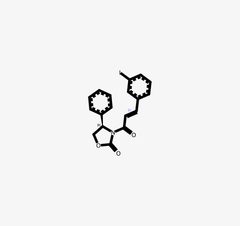 O=C(/C=C/c1cccc(I)c1)N1C(=O)OC[C@H]1c1ccccc1